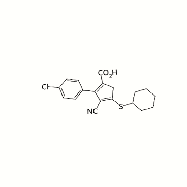 N#CC1=C(SC2CCCCC2)CC(C(=O)O)=C1c1ccc(Cl)cc1